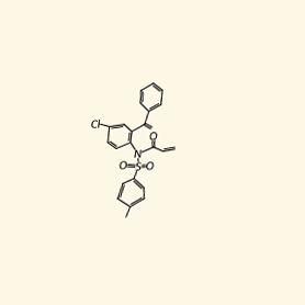 C=CC(=O)N(c1ccc(Cl)cc1C(=C)c1ccccc1)S(=O)(=O)c1ccc(C)cc1